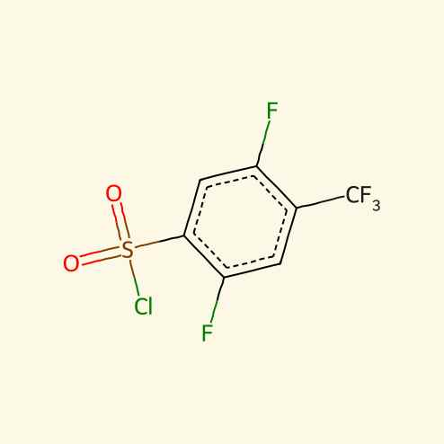 O=S(=O)(Cl)c1cc(F)c(C(F)(F)F)cc1F